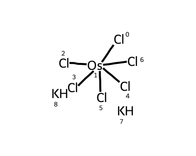 [Cl][Os]([Cl])([Cl])([Cl])([Cl])[Cl].[KH].[KH]